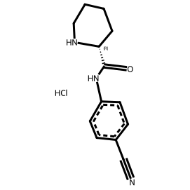 Cl.N#Cc1ccc(NC(=O)[C@H]2CCCCN2)cc1